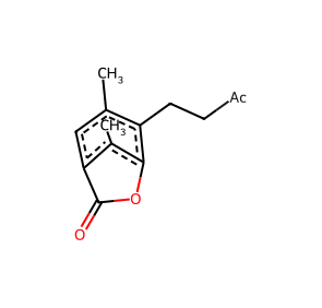 CC(=O)CCc1c(C)cc2c(C)c1OC2=O